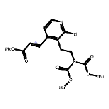 COC(=O)/C=C/c1ccnc(Cl)c1CCN(C(=O)OC(C)(C)C)C(=O)OC(C)(C)C